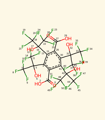 O=C(O)c1c(C(O)(C(F)(F)F)C(F)(F)F)c(C(O)(C(F)(F)F)C(F)(F)F)c(C(=O)O)c(C(O)(C(F)(F)F)C(F)(F)F)c1C(O)(C(F)(F)F)C(F)(F)F